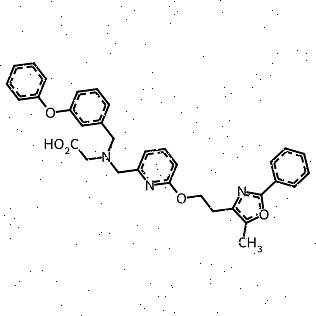 Cc1oc(-c2ccccc2)nc1CCOc1cccc(CN(CC(=O)O)Cc2cccc(Oc3ccccc3)c2)n1